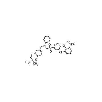 CC1(C)C=Cc2cc(CN(CS(=O)(=O)c3ccc(Oc4c(Cl)cccc4[N+](=O)[O-])cc3)c3ccccc3)ccc2O1